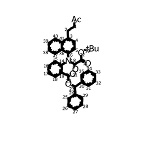 CC(=O)CCc1ccc(N(C(=O)C(=O)OC(C)(C)C)c2ccccc2C(=O)OC(c2ccccc2)c2ccccc2)c2ccccc12